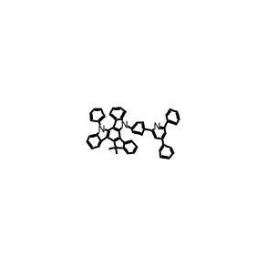 CC1(C)c2ccccc2-c2c1c1c3ccccc3n(-c3ccccc3)c1c1c3ccccc3n(-c3ccc(-c4cc(-c5ccccc5)cc(-c5ccccc5)n4)cc3)c21